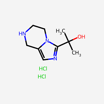 CC(C)(O)c1ncc2n1CCNC2.Cl.Cl